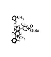 C[C@H]1CN(C(=O)OC(C)(C)C)CCN1c1nc(OCC2CCCN2C)nc2c(=O)n(-c3ccccc3F)c(C(F)(F)F)nc12